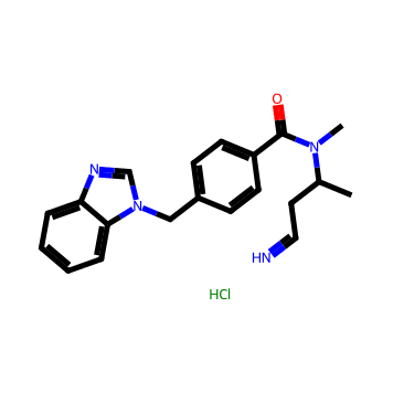 CC(CC=N)N(C)C(=O)c1ccc(Cn2cnc3ccccc32)cc1.Cl